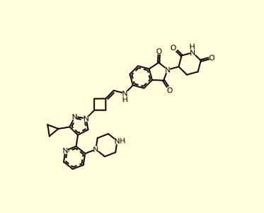 O=C1CCC(N2C(=O)c3ccc(NC=C4CC(n5cc(-c6ncccc6N6CCNCC6)c(C6CC6)n5)C4)cc3C2=O)C(=O)N1